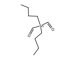 CCC[CH2][Sn]([CH]=O)([CH]=O)[CH2]CCC